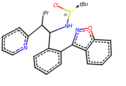 CC(C)C(c1ccccn1)C(N[S@@+]([O-])C(C)(C)C)c1ccccc1-c1noc2ccccc12